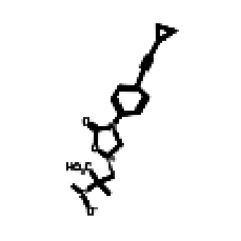 C[S+]([O-])C(C)(C[C@H]1CN(c2ccc(C#CC3CC3)cc2)C(=O)O1)C(=O)O